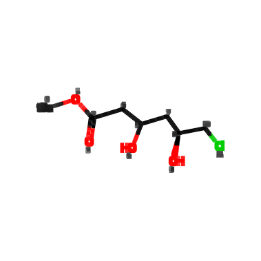 CC(C)(C)OC(=O)CC(O)C[C@H](O)CCl